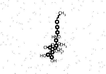 CCCCC[C@H]1CC[C@H](c2ccc(-c3ccc(C(=O)Nc4ccc(-c5cc6c(cc5OC)C(C)(C)c5c7c(c8cc(Cl)cc(Cl)c8c5-6)OC(c5ccc(O)cc5)(c5ccc(O)cc5)C=C7)cc4)cc3)cc2)CC1